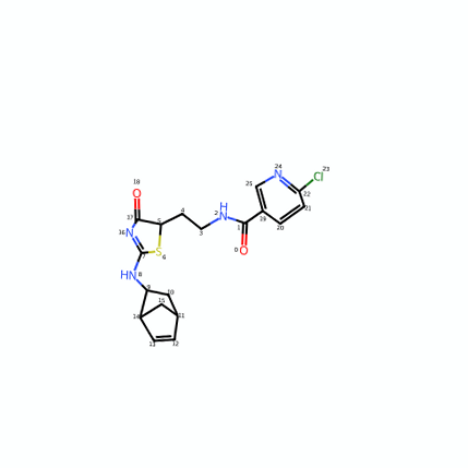 O=C(NCCC1SC(NC2CC3C=CC2C3)=NC1=O)c1ccc(Cl)nc1